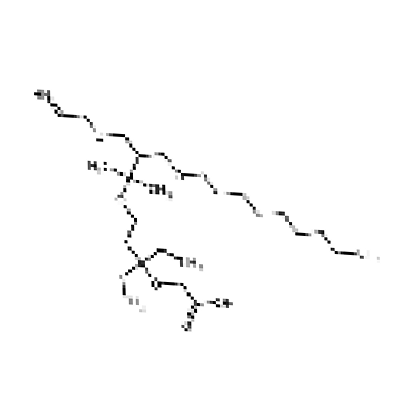 CCCCCCCCCOCC(COCC=N)C(C)(C)OCCC(CC)(CC)OCC(=O)O